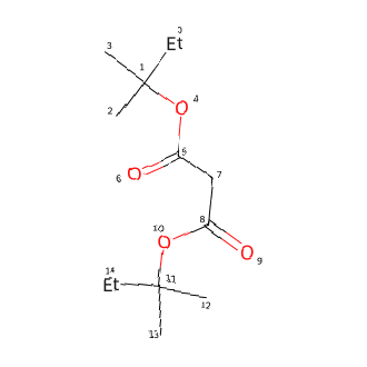 CCC(C)(C)OC(=O)CC(=O)OC(C)(C)CC